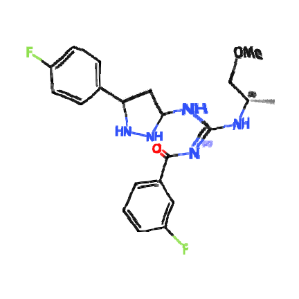 COC[C@H](C)N/C(=N/C(=O)c1cccc(F)c1)NC1CC(c2ccc(F)cc2)NN1